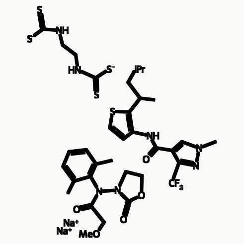 CC(C)CC(C)c1sccc1NC(=O)c1cn(C)nc1C(F)(F)F.COCC(=O)N(c1c(C)cccc1C)N1CCOC1=O.S=C([S-])NCCNC(=S)[S-].[Na+].[Na+]